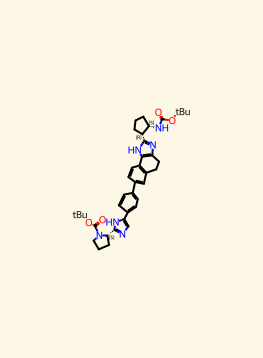 CC(C)(C)OC(=O)N[C@H]1CCC[C@H]1c1nc2c([nH]1)-c1ccc(-c3ccc(-c4cnc([C@@H]5CCCN5C(=O)OC(C)(C)C)[nH]4)cc3)cc1CC2